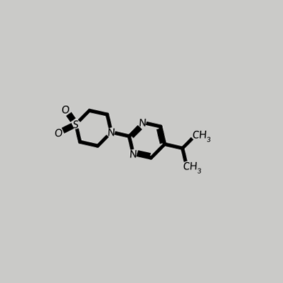 CC(C)c1cnc(N2CCS(=O)(=O)CC2)nc1